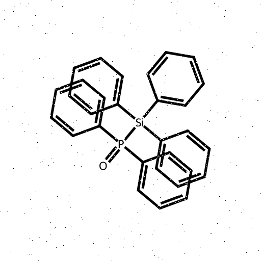 O=P(c1ccccc1)(c1ccccc1)[Si](c1ccccc1)(c1ccccc1)c1ccccc1